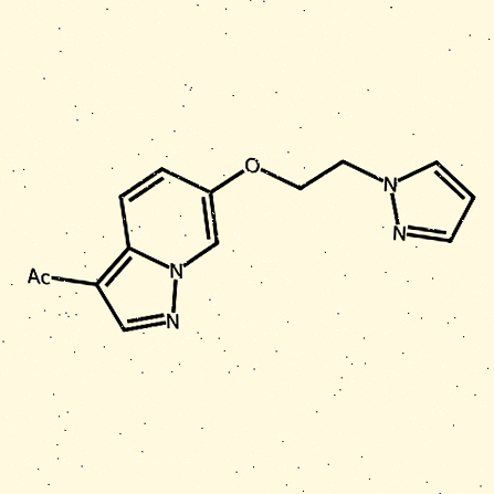 CC(=O)c1cnn2cc(OCCn3cccn3)ccc12